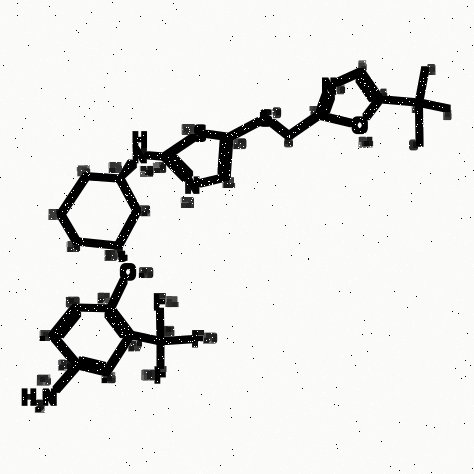 CC(C)(C)c1cnc(CSc2cnc(N[C@@H]3CCC[C@@H](Oc4ccc(N)cc4C(F)(F)F)C3)s2)o1